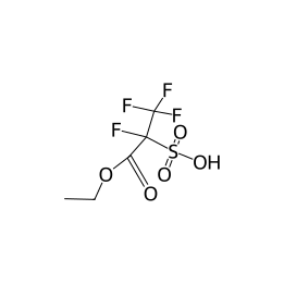 CCOC(=O)C(F)(C(F)(F)F)S(=O)(=O)O